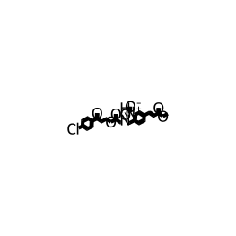 COC(=O)C=Cc1ccc(CNCC(=O)OCCC(=O)c2ccc(Cl)cc2)c([N+](=O)[O-])c1